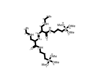 CO[Si](CCCNC(=O)C(CNCC(C)C)N=NC(CNCC(C)C)C(=O)NCCC[Si](OC)(OC)OC)(OC)OC